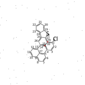 Clc1ccc(-c2cccc3cccc(-c4ccc5sc6ccccc6c5c4)c23)cc1